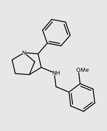 COc1ccccc1CNC1C2CCN(C2)C1c1ccccc1